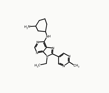 CCn1c(-c2cnc(C)nc2)nc2c(NC3CCCC(N)C3)ncnc21